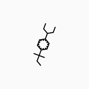 CCC(CC)c1ccc(C(C)(C)CC)cc1